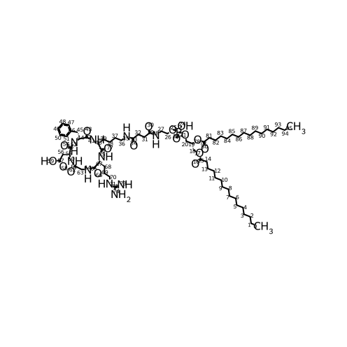 CCCCCCCCCCCCCCCC(=O)OC[C@H](COP(=O)(O)OCCNC(=O)CCC(=O)NCCCC[C@@H]1NC(=O)[C@@H](Cc2ccccc2)NC(=O)[C@H](CC(=O)O)NC(=O)CNC(=O)[C@H](CCCNC(=N)N)NC1=O)OC(=O)CCCCCCCCCCCCCCC